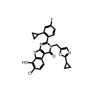 O=c1c2c(nc(-c3ccc(F)cc3C3CC3)n1Cc1cnc(C3CC3)o1)sc1c(O)c(Cl)ccc12